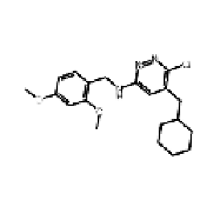 COc1ccc(CNc2cc(CC3CCCCC3)c(Cl)nn2)c(OC)c1